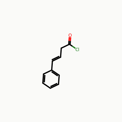 O=C(Cl)CC=Cc1ccccc1